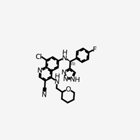 N#Cc1cnc2c(Cl)cc(N[C@@H](c3ccc(F)cc3)c3c[nH]nn3)cc2c1NCC1CCCCO1